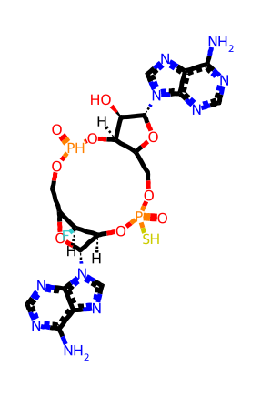 Nc1ncnc2c1ncn2[C@@H]1OC2COP(=O)(S)O[C@H]3[C@H](n4cnc5c(N)ncnc54)OC(CO[PH](=O)O[C@H]2[C@H]1O)[C@@H]3F